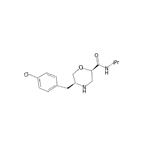 CC(C)NC(=O)[C@H]1CN[C@@H](Cc2ccc(Cl)cc2)CO1